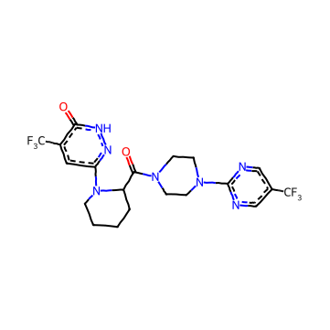 O=C(C1CCCCN1c1cc(C(F)(F)F)c(=O)[nH]n1)N1CCN(c2ncc(C(F)(F)F)cn2)CC1